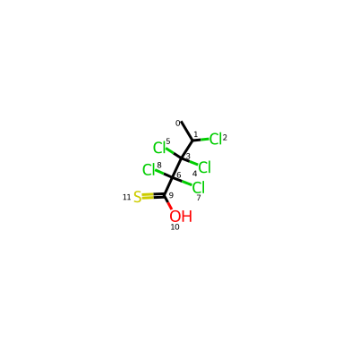 CC(Cl)C(Cl)(Cl)C(Cl)(Cl)C(O)=S